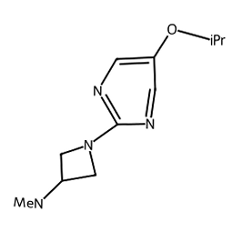 CNC1CN(c2ncc(OC(C)C)cn2)C1